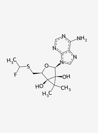 CC(F)SC[C@H]1O[C@@H](n2cnc3c(N)ncnc32)[C@]2(O)C(C)(C)[C@]12O